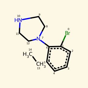 Brc1ccccc1N1CCNCC1.CC